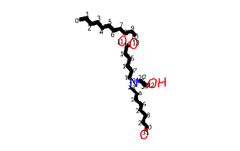 CCCCCCCCC(CC)OC(=O)CCCCCN(CCO)CCCCCCCC=O